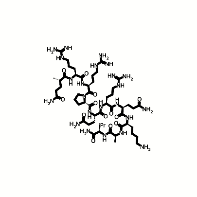 CC(C)[C@H](NC(=O)[C@H](C)NC(=O)[C@H](CCCCN)NC(=O)[C@H](CCC(N)=O)NC(=O)[C@H](CCCNC(=N)N)NC(=O)[C@H](CCC(N)=O)NC(=O)[C@@H]1CCCN1C(=O)[C@H](CCCNC(=N)N)NC(=O)[C@H](CCCNC(=N)N)NC(=O)[C@@H](C)CCC(N)=O)C(N)=O